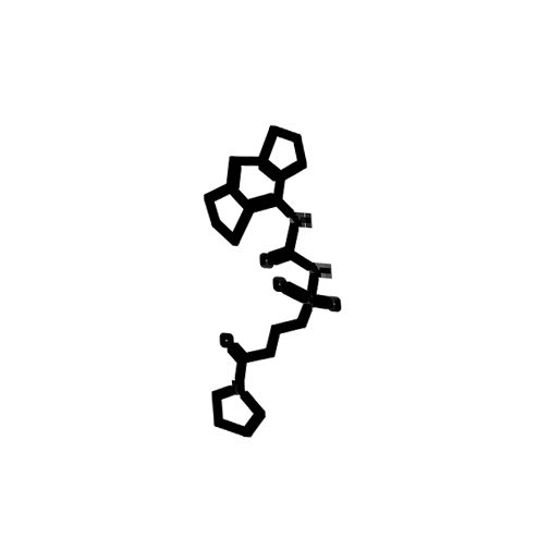 O=C(Nc1c2c(cc3c1CCC3)CCC2)NS(=O)(=O)CCCC(=O)N1CCCC1